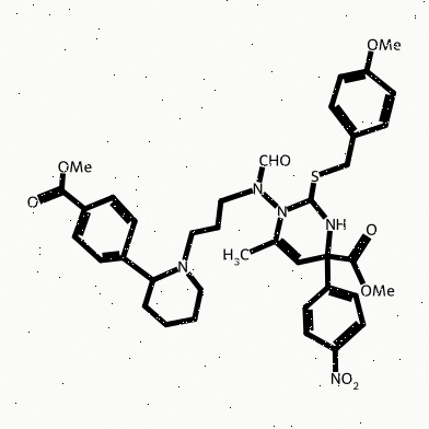 COC(=O)c1ccc(C2CCCCN2CCCN(C=O)N2C(C)=CC(C(=O)OC)(c3ccc([N+](=O)[O-])cc3)NC2SCc2ccc(OC)cc2)cc1